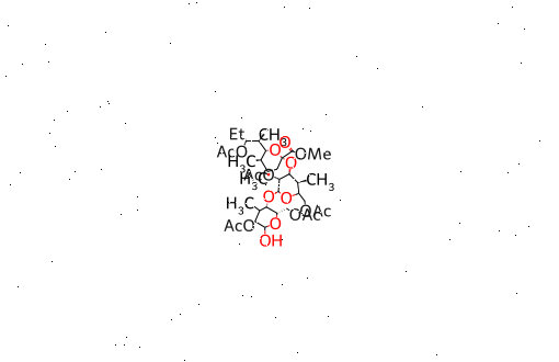 CC[C@@H](OC(C)=O)[C@@H](C)[C@@H]1O[C@@](O[C@@H]2C(OC(C)=O)[C@H](O[C@H]3C(C)C(OC(C)=O)C(O)O[C@H]3COC(C)=O)OC(COC(C)=O)[C@@H]2C)(C(=O)OC)CC(C)[C@H]1C